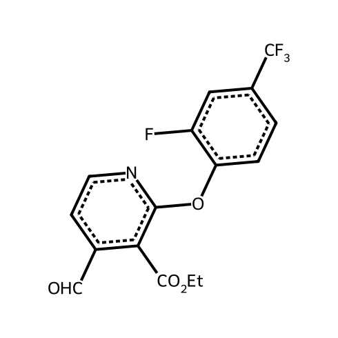 CCOC(=O)c1c(C=O)ccnc1Oc1ccc(C(F)(F)F)cc1F